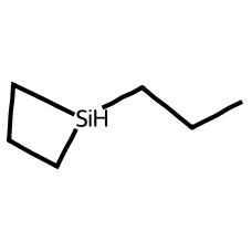 CCC[SiH]1CCC1